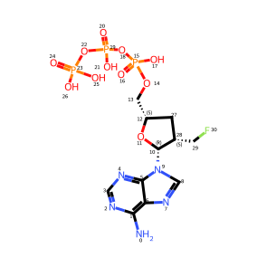 Nc1ncnc2c1ncn2[C@@H]1O[C@H](COP(=O)(O)OP(=O)(O)OP(=O)(O)O)C[C@@H]1CF